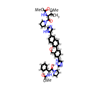 COC(=O)NC(C(=O)N1CCC[C@H]1c1ncc(-c2ccc3c4c(ccc3c2)-c2ccc(-c3cnc([C@@H]5CCCN5C(=O)[C@H](NC(=O)OC)c5ccccc5)[nH]3)cc2CO4)[nH]1)[C@@H](C)OC